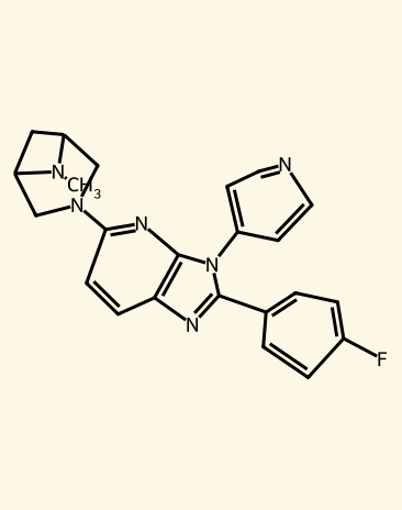 CN1C2CC1CN(c1ccc3nc(-c4ccc(F)cc4)n(-c4ccncc4)c3n1)C2